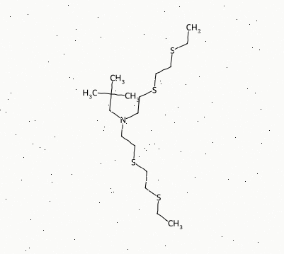 CCSCCSCCN(CCSCCSCC)CC(C)(C)C